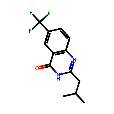 CC(C)Cc1nc2ccc(C(F)(F)F)cc2c(=O)[nH]1